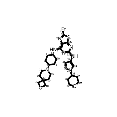 CCc1nc2c(N[C@H]3CC[C@H](N4CCC5(CC4)COC5)CC3)nc(Nc3cnn(C4CCOCC4)c3)nc2s1